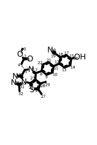 COC(=O)C[C@@H]1N=C(c2ccc(-c3ccc(O)cc3C#N)cc2)c2c(sc(C)c2C)-n2c(C)nnc21